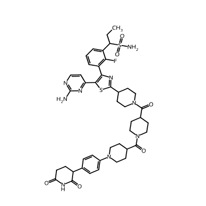 CCC(c1cccc(-c2nc(C3CCN(C(=O)C4CCN(C(=O)C5CCN(c6ccc(C7CCC(=O)NC7=O)cc6)CC5)CC4)CC3)sc2-c2ccnc(N)n2)c1F)S(N)(=O)=O